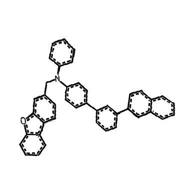 c1ccc(N(Cc2ccc3c(c2)oc2ccccc23)c2ccc(-c3cccc(-c4ccc5ccccc5c4)c3)cc2)cc1